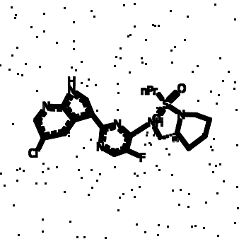 CCCS(=O)(=O)N1CCCC[C@@H]1CNc1nc(-c2c[nH]c3ncc(Cl)cc23)ncc1F